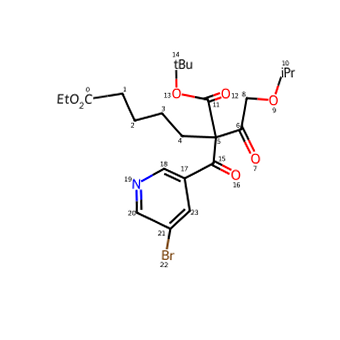 CCOC(=O)CCCCC(C(=O)COC(C)C)(C(=O)OC(C)(C)C)C(=O)c1cncc(Br)c1